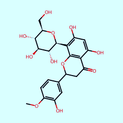 COc1ccc(C2CC(=O)c3c(O)cc(O)c([C@@H]4O[C@H](CO)[C@@H](O)[C@H](O)[C@H]4O)c3O2)cc1O